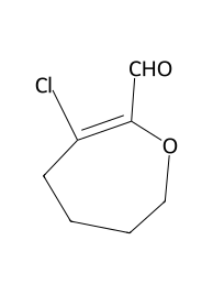 O=CC1=C(Cl)CCCCO1